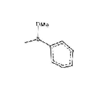 COB(C)c1ccccc1